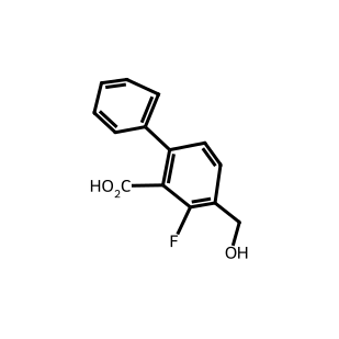 O=C(O)c1c(-c2ccccc2)ccc(CO)c1F